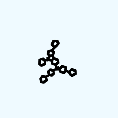 c1ccc(-c2ccc(N(c3ccc(-c4ccccc4)cc3)c3ccc4c5cc(-c6ccccc6)ccc5n(-c5ccccc5)c4c3)cc2)cc1